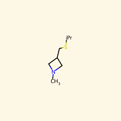 CC(C)SCC1CN(C)C1